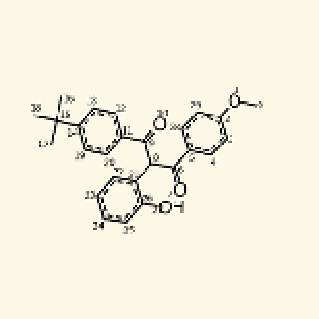 COc1ccc(C(=O)C(C(=O)c2ccc(C(C)(C)C)cc2)c2ccccc2O)cc1